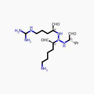 CC(C)[C@@H](C=O)NN(N[C@H](C=O)CCCNC(N)N)[C@H](C=O)CCCCN